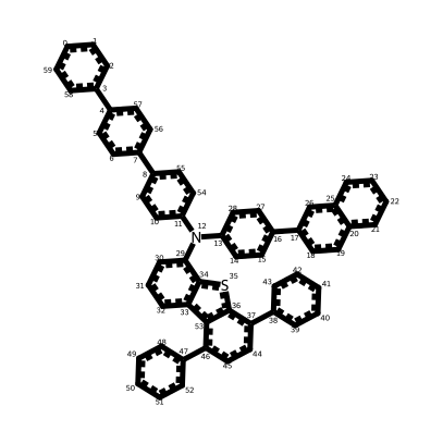 c1ccc(-c2ccc(-c3ccc(N(c4ccc(-c5ccc6ccccc6c5)cc4)c4cccc5c4sc4c(-c6ccccc6)ccc(-c6ccccc6)c45)cc3)cc2)cc1